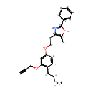 C#CCOc1cc(OCCc2nc(-c3ccccc3)oc2C)ccc1CCC(=O)O